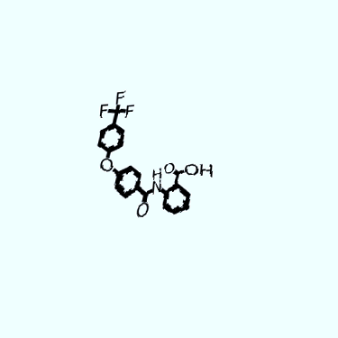 O=C(Nc1ccccc1C(=O)O)c1ccc(Oc2ccc(C(F)(F)F)cc2)cc1